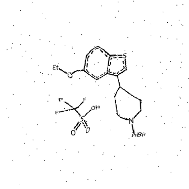 CCCCN1CCC(c2csc3ccc(OCC)cc23)CC1.O=S(=O)(O)C(F)(F)F